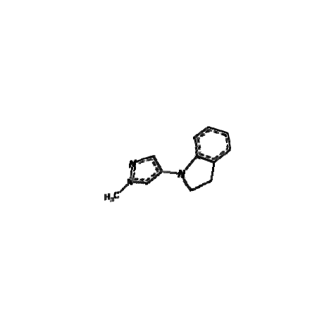 Cn1cc(N2CCc3ccccc32)cn1